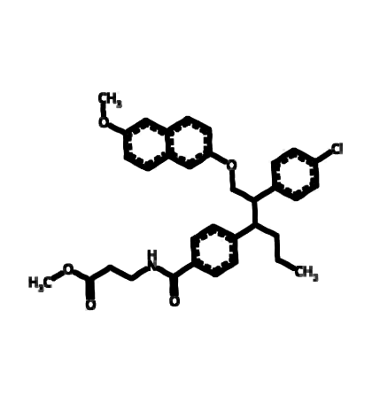 CCCC(c1ccc(C(=O)NCCC(=O)OC)cc1)C(COc1ccc2cc(OC)ccc2c1)c1ccc(Cl)cc1